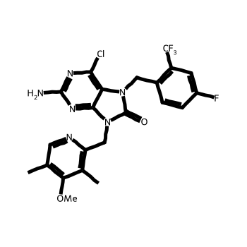 COc1c(C)cnc(Cn2c(=O)n(Cc3ccc(F)cc3C(F)(F)F)c3c(Cl)nc(N)nc32)c1C